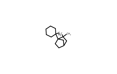 CC1(C)CC2CCC1(C1(C)CCCCC1)C2